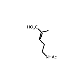 CC(=O)NCCC=C(C)C(=O)O